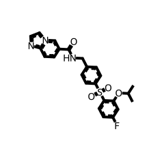 CC(C)Oc1cc(F)ccc1S(=O)(=O)c1ccc(CNC(=O)c2ccc3nccn3c2)cc1